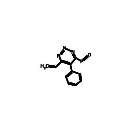 C=Cc1nnnc(P=O)c1-c1ccccc1